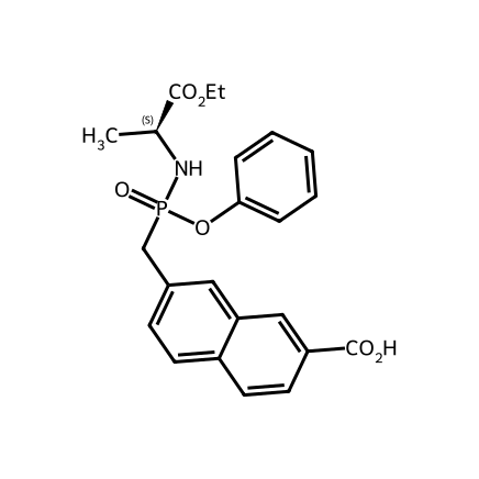 CCOC(=O)[C@H](C)NP(=O)(Cc1ccc2ccc(C(=O)O)cc2c1)Oc1ccccc1